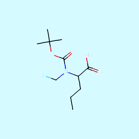 CCCC(C(=O)O)N(CF)C(=O)OC(C)(C)C